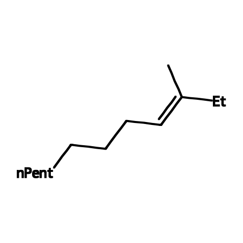 CCCCCCCCC=C(C)CC